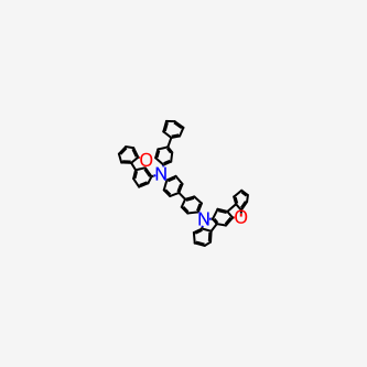 c1ccc(-c2ccc(N(c3ccc(-c4ccc(-n5c6ccccc6c6cc7oc8ccccc8c7cc65)cc4)cc3)c3cccc4c3oc3ccccc34)cc2)cc1